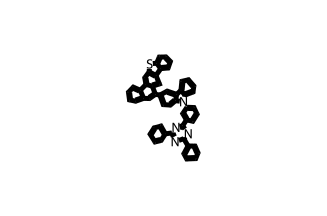 c1ccc(-c2nc(-c3ccccc3)nc(-c3cccc(-n4c5ccccc5c5cc(-c6cc7ccccc7c7cc8sc9ccccc9c8cc67)ccc54)c3)n2)cc1